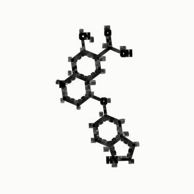 Cc1cc2nccc(Oc3ccc4[nH]ccc4c3)c2cc1C(=O)O